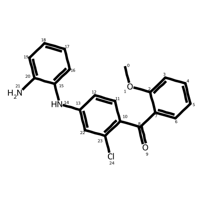 COc1ccccc1C(=O)c1ccc(Nc2ccccc2N)cc1Cl